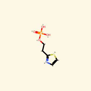 O=P(O)(O)OCCc1nccs1